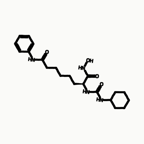 O=C(CCCCC[C@H](NC(=O)NC1CCCCC1)C(=O)NO)Nc1ccccc1